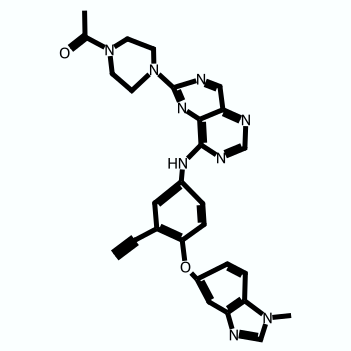 C#Cc1cc(Nc2ncnc3cnc(N4CCN(C(C)=O)CC4)nc23)ccc1Oc1ccc2c(c1)ncn2C